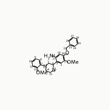 COc1cc(C2CN(c3ccccc3OC)CC[N]2)c(N)cc1OCc1ccccc1